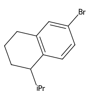 CC(C)C1CCCc2cc(Br)ccc21